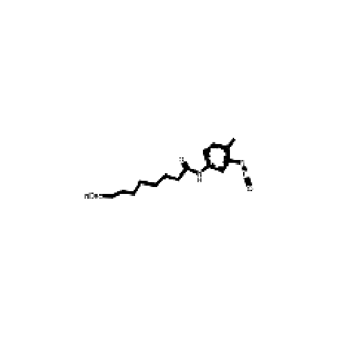 CCCCCCCCCCCCCCCCCC(=O)Nc1ccc(C)c(N=C=O)c1